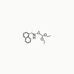 CCOC(OCC)C1C[C@H]1N[C@@H](C)c1cccc2ccccc12